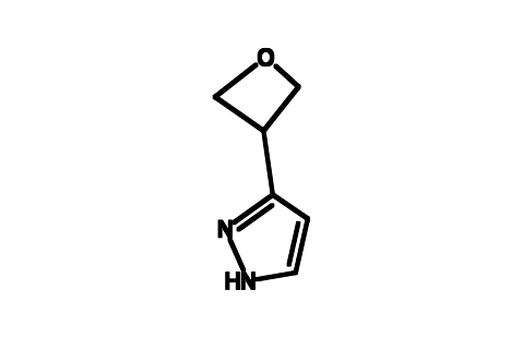 c1cc(C2COC2)n[nH]1